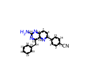 N#Cc1ccc(-c2ccc3nc(N)nc(Cc4ccccc4)c3n2)cc1